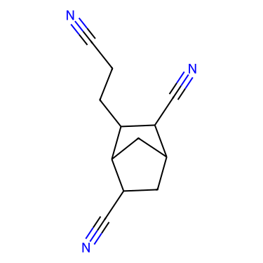 N#CCCC1C(C#N)C2CC(C#N)C1C2